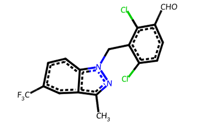 Cc1nn(Cc2c(Cl)ccc(C=O)c2Cl)c2ccc(C(F)(F)F)cc12